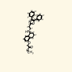 COC(=O)COc1cccc2c1CCCC2NCCc1nc(-c2ccccc2)c(-c2ccccc2)o1